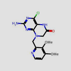 COc1ccnc(CN2CC(=O)Nc3c(Cl)nc(N)nc32)c1OC